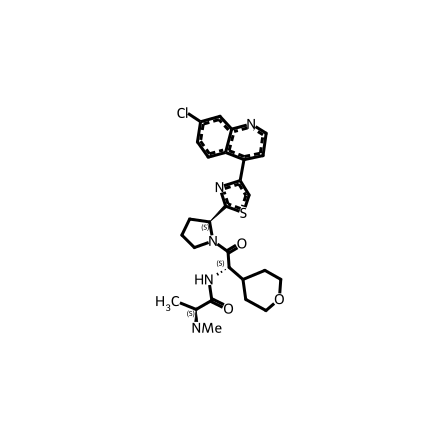 CN[C@@H](C)C(=O)N[C@H](C(=O)N1CCC[C@H]1c1nc(-c2ccnc3cc(Cl)ccc23)cs1)C1CCOCC1